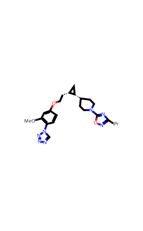 COc1cc(OCC[C@@H]2C[C@@H]2C2CCN(c3nc(C(C)C)no3)CC2)ccc1-n1cnnn1